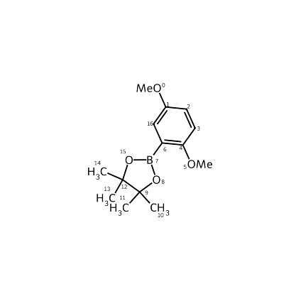 COc1ccc(OC)c(B2OC(C)(C)C(C)(C)O2)c1